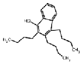 CCCCc1c(CCCC)c(CCCC)c2ccccc2c1O